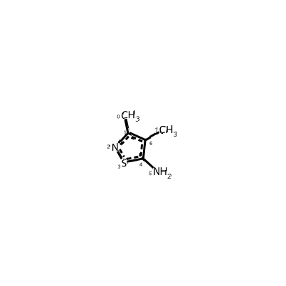 Cc1nsc(N)c1C